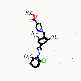 COC(=O)C1CCN(Cc2c(C)cc(C3CN(c4c(C)cccc4Cl)C3)cc2C)CC1